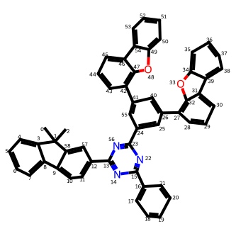 CC1(C)c2ccccc2-c2ccc(-c3nc(-c4ccccc4)nc(-c4cc(-c5cccc6c5oc5ccccc56)cc(-c5cccc6c5oc5ccccc56)c4)n3)cc21